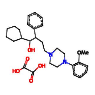 COc1ccccc1N1CCN(CCC(c2ccccc2)C(O)C2CCCCC2)CC1.O=C(O)C(=O)O